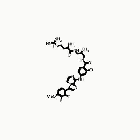 CCc1cc(Nc2nccn3c(-c4ccc(OC)c(F)c4F)cnc23)ccc1C(=O)NCC(C)CNC(=O)C(N)CCNC(=N)N